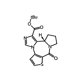 CC(C)(C)OC(=O)c1ncn2c1[C@@H]1CCCN1C(=O)c1sccc1-2